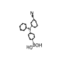 N#Cc1cccc(N(c2ccccc2)c2ccc(B(O)O)cc2)c1